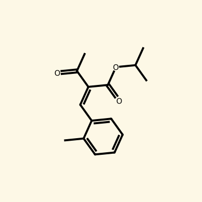 CC(=O)/C(=C/c1ccccc1C)C(=O)OC(C)C